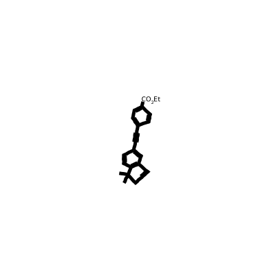 CCOC(=O)c1ccc(C#Cc2ccc3c(c2)C=CCC3(C)C)cc1